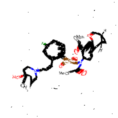 COC(=O)c1c(N(C(=O)OC)S(=O)(=O)c2ccc(F)cc2/C=C\CN2CCC(C)(O)CC2)ccc2c1OC[C@@H]1C[C@H]21